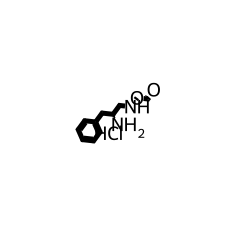 Cl.N[C@@H](CNOC=O)Cc1ccccc1